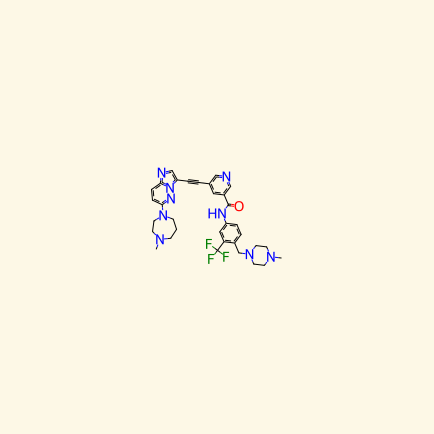 CN1CCN(Cc2ccc(NC(=O)c3cncc(C#Cc4cnc5ccc(N6CCCN(C)CC6)nn45)c3)cc2C(F)(F)F)CC1